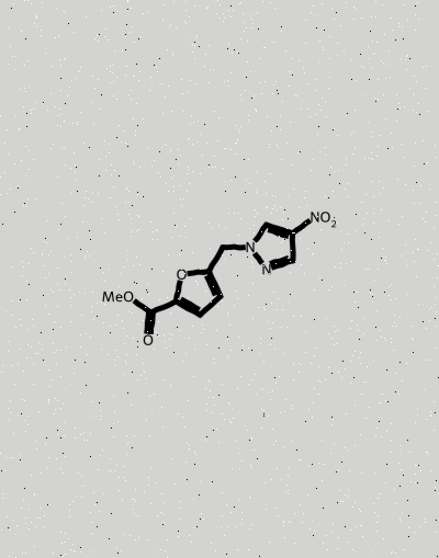 COC(=O)c1ccc(Cn2cc([N+](=O)[O-])cn2)o1